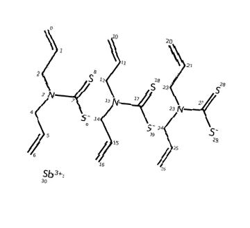 C=CCN(CC=C)C(=S)[S-].C=CCN(CC=C)C(=S)[S-].C=CCN(CC=C)C(=S)[S-].[Sb+3]